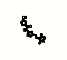 Cc1noc(C)c1CCn1cnc(NC(=O)C2CCN(C#N)C2)c1